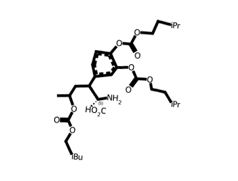 CCC(C)COC(=O)OC(C)CC(c1ccc(OC(=O)OCCC(C)C)c(OC(=O)OCCC(C)C)c1)[C@H](N)C(=O)O